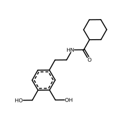 O=C(NCCc1ccc(CO)c(CO)c1)C1CCCCC1